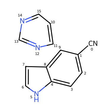 N#Cc1ccc2[nH]ccc2c1.c1cncnc1